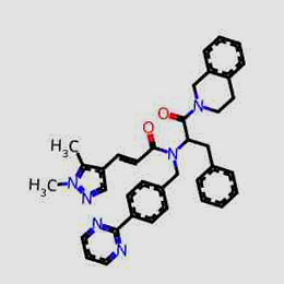 Cc1c(C=CC(=O)N(Cc2ccc(-c3ncccn3)cc2)C(Cc2ccccc2)C(=O)N2CCc3ccccc3C2)cnn1C